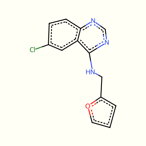 Clc1ccc2ncnc(NCc3ccco3)c2c1